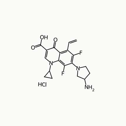 C=Cc1c(F)c(N2CCC(N)C2)c(F)c2c1c(=O)c(C(=O)O)cn2C1CC1.Cl